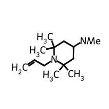 C=CCN1C(C)(C)CC(NC)CC1(C)C